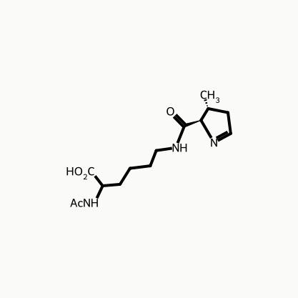 CC(=O)NC(CCCCNC(=O)[C@@H]1N=CC[C@H]1C)C(=O)O